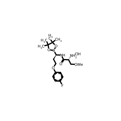 COC[C@@H](N)C(=O)N[C@@H](CCOc1ccc(F)cc1)B1OC(C)(C)C(C)(C)O1.Cl